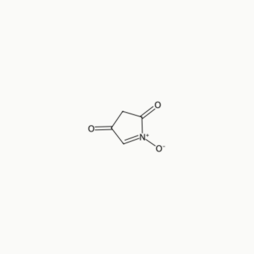 O=C1C=[N+]([O-])C(=O)C1